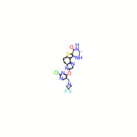 C[C@@H]1CNc2c(sc3ccc4nc(Oc5nc(Cl)ncc5CN5CC(F)(F)C5)cnc4c23)C(=O)N1